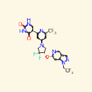 O=c1[nH]cc(-c2cc(N3C[C@H](Oc4cc5c(cn4)cnn5CC(F)(F)F)C(F)(F)C3)cc(C(F)(F)F)n2)c(=O)[nH]1